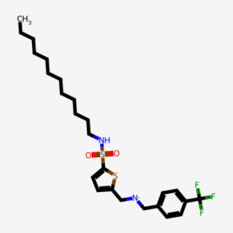 CCCCCCCCCCCCNS(=O)(=O)c1ccc(C[N]Cc2ccc(C(F)(F)F)cc2)s1